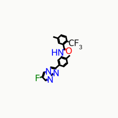 Cc1ccc(C(F)(F)F)c(C(=O)Nc2cc(-c3cn4cc(F)cnc4n3)ccc2C)c1